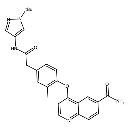 Cc1cc(CC(=O)Nc2cnn(C(C)(C)C)c2)ccc1Oc1ccnc2ccc(C(N)=O)cc12